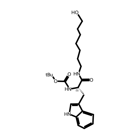 CC(C)(C)OC(=O)N[C@@H](Cc1c[nH]c2ccccc12)C(=O)NCCCCCCCO